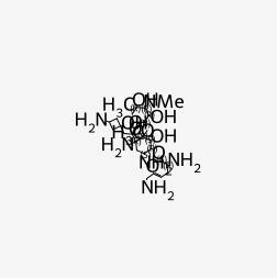 CN[C@@H]1[C@@H](O)[C@@H](O[C@]2(C)[C@@H](O)[C@H](O[C@H]3OC(CN)=CC[C@H]3N)[C@@H](N)C[C@]2(N)C(=O)CC2(O)CC(N)C2)OC[C@]1(C)O